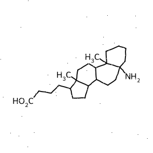 CC12CCC3C(CCC4(N)CCCCC34C)C1CCC2CCCC(=O)O